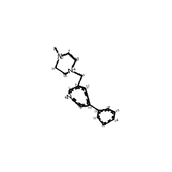 CN1CCN(Cc2cncc(-c3ccccc3)c2)CC1